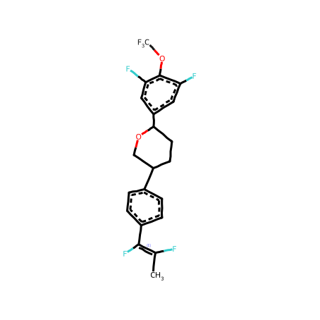 C/C(F)=C(\F)c1ccc(C2CCC(c3cc(F)c(OC(F)(F)F)c(F)c3)OC2)cc1